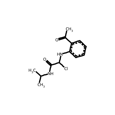 CC(=O)c1ccccc1NC(Cl)C(=O)NC(C)C